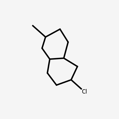 CC1CCC2CC(Cl)CCC2C1